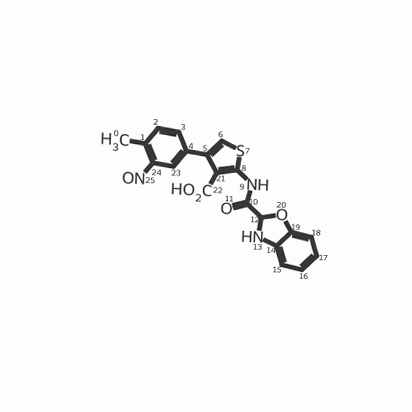 Cc1ccc(-c2csc(NC(=O)C3Nc4ccccc4O3)c2C(=O)O)cc1N=O